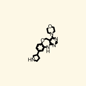 c1nc2c(c(N3CCOCC3)n1)COc1ccc(C3CCNC3)cc1N2